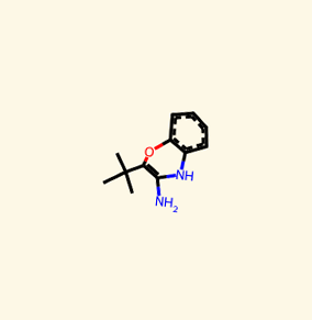 CC(C)(C)C1=C(N)Nc2ccccc2O1